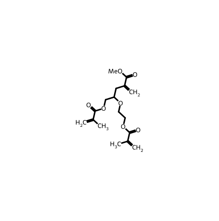 C=C(C)C(=O)OCCOC(COC(=O)C(=C)C)CC(=C)C(=O)OC